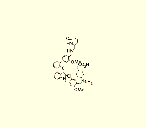 COc1cc(-c2cccc(-c3cccc4c3cnn4Cc3cc(OC)c(CN(C)C4CCC(CC(=O)O)CC4)cc3Cl)c2Cl)ccc1CNC[C@@H]1CCCC(=O)N1